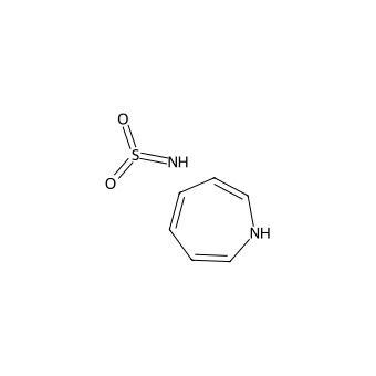 C1=CC=CNC=C1.N=S(=O)=O